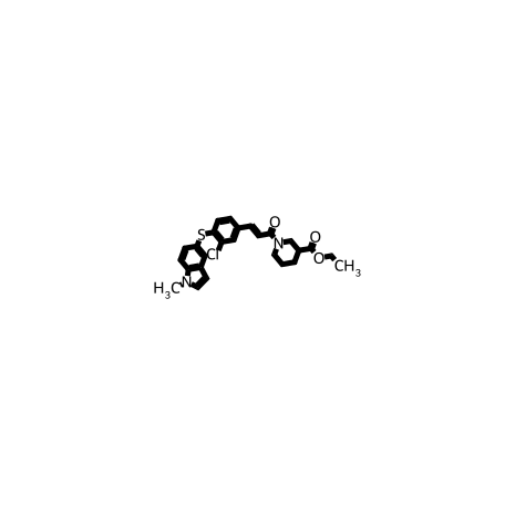 CCOC(=O)C1CCCN(C(=O)C=Cc2ccc(Sc3ccc4c(ccn4C)c3)c(Cl)c2)C1